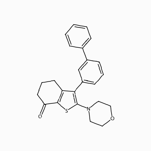 O=C1CCCc2c1sc(N1CCOCC1)c2-c1cccc(-c2ccccc2)c1